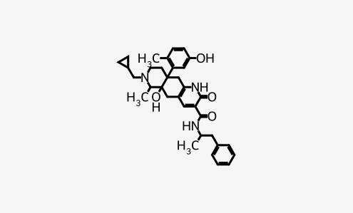 Cc1ccc(O)cc1C12CCN(CC3CC3)C(C)C1(O)Cc1cc(C(=O)NC(C)Cc3ccccc3)c(=O)[nH]c1C2